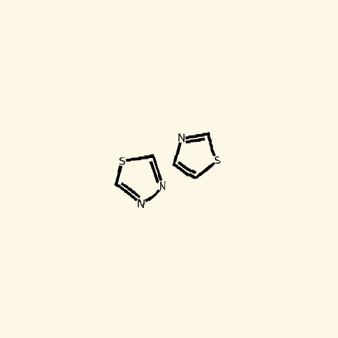 c1cscn1.c1nncs1